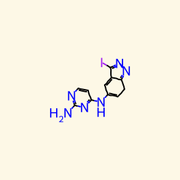 Nc1nccc(NC2=CCC3=NN=C(I)C3=C2)n1